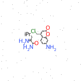 CC(C)C[C@H](N)C(N)=O.Nc1ccc2c(CCl)cc(=O)oc2c1